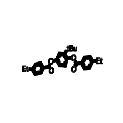 CCc1ccc(C(=O)Oc2ccc(OC(=O)c3ccc(CC)cc3)c(C(C)(C)C)c2)cc1